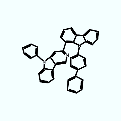 c1ccc(-c2ccc(-n3c4ccccc4c4cccc(-c5cc6c(cn5)c5ccccc5n6-c5ccccc5)c43)cc2)cc1